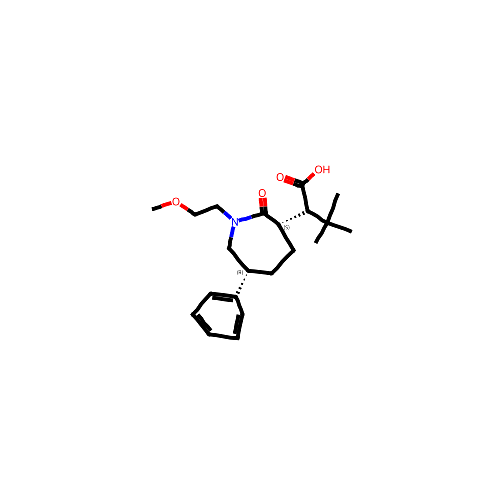 COCCN1C[C@@H](c2ccccc2)CC[C@@H](C(C(=O)O)C(C)(C)C)C1=O